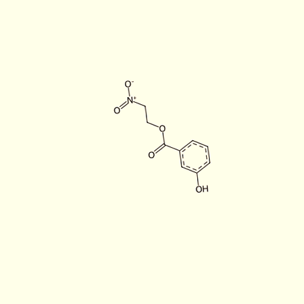 O=C(OCC[N+](=O)[O-])c1cccc(O)c1